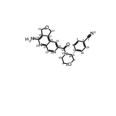 N#Cc1ccc([C@@H]2COCCN2C(=O)c2cc3c4c(c(N)nc3cn2)COC4)cc1